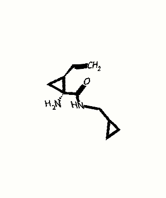 C=C[C@@H]1C[C@]1(N)C(=O)NCC1CC1